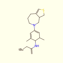 C=C(CC(C)(C)C)NC1C(C)=CC(N2CCCC3=CSCC3C2)=CC1C